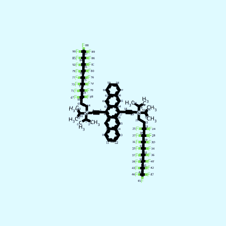 CC(C)[Si](C#Cc1c2cc3ccccc3cc2c(C#C[Si](CCC(F)(F)C(F)(F)C(F)(F)C(F)(F)C(F)(F)C(F)(F)C(F)(F)C(F)(F)F)(C(C)C)C(C)C)c2cc3ccccc3cc12)(CCC(F)(F)C(F)(F)C(F)(F)C(F)(F)C(F)(F)C(F)(F)C(F)(F)C(F)(F)F)C(C)C